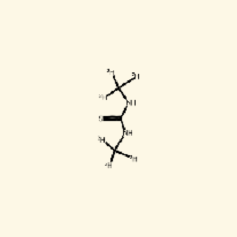 [2H]C([2H])([2H])NC(=S)NC([2H])([2H])[2H]